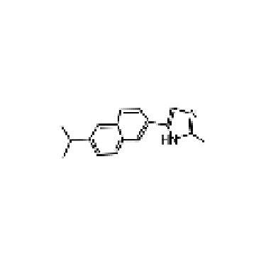 Cc1ncc(-c2ccc3cc(C(C)C)ccc3c2)[nH]1